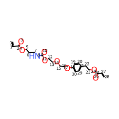 C=CC(=O)OCCCNC(=O)OCCOCCOc1ccc(CCOC(=O)C=C)cc1